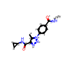 CCCNC(=O)c1ccc(-n2nnc(C(=O)NC3CC3)c2C)cc1